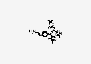 Cc1sc2c(c1C)C(c1ccc(C=CCN)cc1)=N[C@H](CC(=O)OC(C)(C)C)c1nnc(C)n1-2